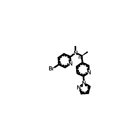 C[C@@H](c1ccc(-n2cccn2)nc1)N(C)c1ccc(Br)cn1